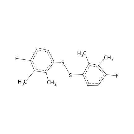 Cc1c(F)ccc(SSc2ccc(F)c(C)c2C)c1C